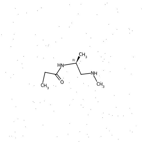 CCC(=O)N[C@@H](C)CNC